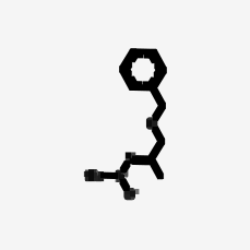 CC(COCc1ccccc1)=N[S+]([O-])C(C)(C)C